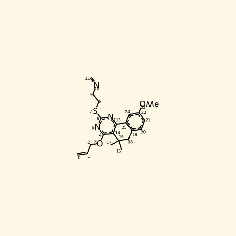 C=CCOc1nc(SCCN=C)nc2c1C(C)(C)Cc1ccc(OC)cc1-2